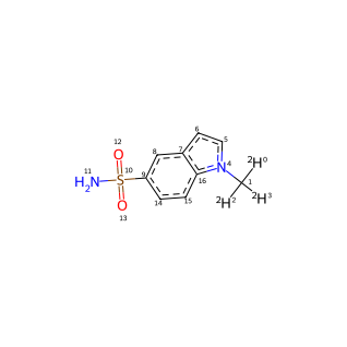 [2H]C([2H])([2H])n1ccc2cc(S(N)(=O)=O)ccc21